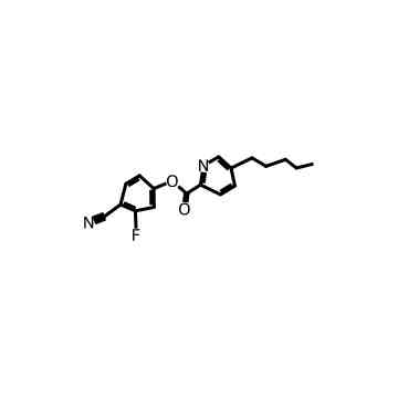 CCCCCc1ccc(C(=O)Oc2ccc(C#N)c(F)c2)nc1